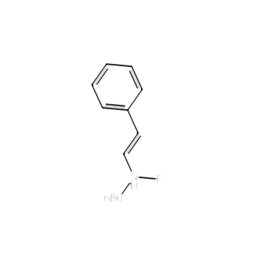 CCCC[SiH](F)C=Cc1ccccc1